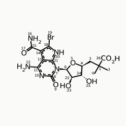 CC(C)(C[C@@H]1O[C@H](n2c(=O)nc(N)c3c(C(N)=O)c(Br)[nH]c32)[C@H](O)[C@H]1O)C(=O)O